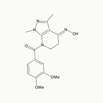 COc1ccc(C(=O)N2CCC(=NO)c3c(C)nn(C)c32)cc1OC